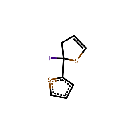 IC1(c2cccs2)CC=CS1